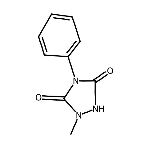 Cn1[nH]c(=O)n(-c2ccccc2)c1=O